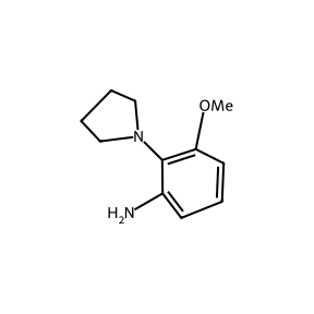 COc1cccc(N)c1N1CCCC1